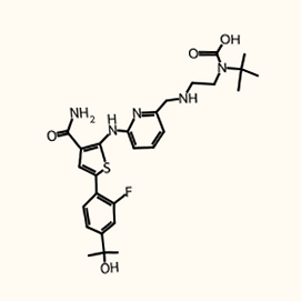 CC(C)(O)c1ccc(-c2cc(C(N)=O)c(Nc3cccc(CNCCN(C(=O)O)C(C)(C)C)n3)s2)c(F)c1